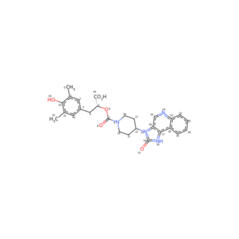 Cc1cc(C[C@@H](OC(=O)N2CCC(n3c(=O)[nH]c4c5ccccc5ncc43)CC2)C(=O)O)cc(C)c1O